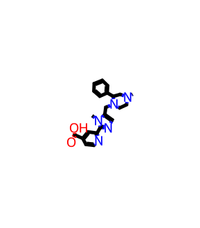 CN1CCN(Cc2cnc(-c3cc(C(=O)O)ccn3)n2C)C(c2ccccc2)C1